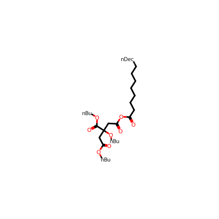 CCCCCCCCCCCCCCCCCC(=O)OC(=O)CC(CC(=O)OCCCC)(OCCCC)C(=O)OCCCC